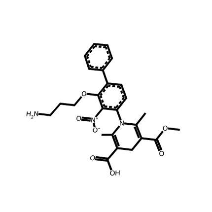 COC(=O)C1=C(C)N(c2ccc(-c3ccccc3)c(OCCCN)c2[N+](=O)[O-])C(C)=C(C(=O)O)C1